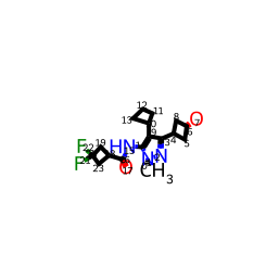 Cn1nc(C2CC(=O)C2)c(C2CCC2)c1NC(=O)C1CC(F)(F)C1